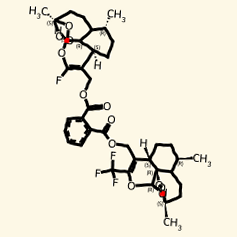 C[C@@H]1CC[C@H]2C(COC(=O)c3ccccc3C(=O)OCC3=C(C(F)(F)F)O[C@@H]4O[C@]5(C)CCC6[C@H](C)CC[C@@H]3[C@]64OO5)=C(F)O[C@@H]3O[C@]4(C)CCC1[C@]32OO4